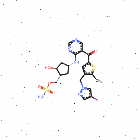 Cc1sc(C(=O)c2cncnc2N[C@@H]2C[C@H](COS(N)(=O)=O)[C@@H](O)C2)cc1Cn1cc(I)cn1